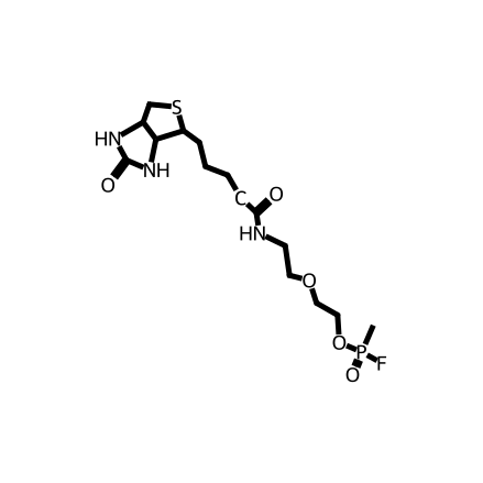 CP(=O)(F)OCCOCCNC(=O)CCCCC1SCC2NC(=O)NC21